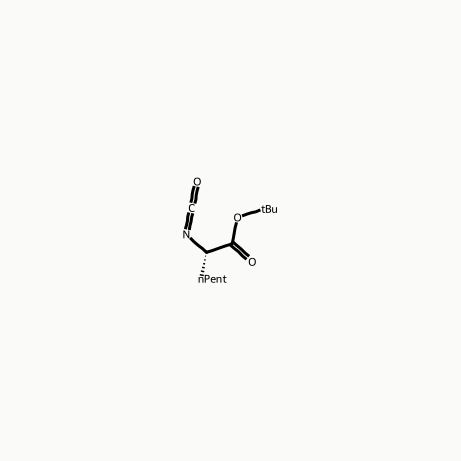 CCCCC[C@H](N=C=O)C(=O)OC(C)(C)C